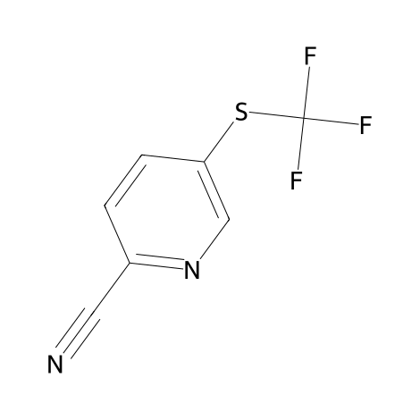 N#Cc1ccc(SC(F)(F)F)cn1